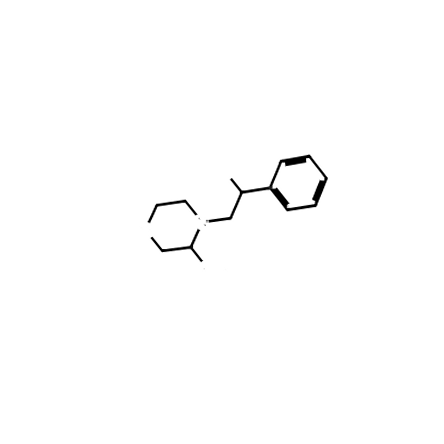 O=CC1COCCN1CC(O)c1ccccc1